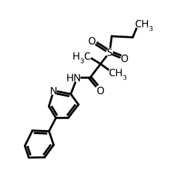 CCCS(=O)(=O)C(C)(C)C(=O)Nc1ccc(-c2ccccc2)cn1